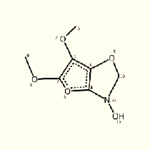 COc1oc2c(c1OC)OCN2O